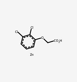 O=C(O)COc1cccc(Cl)c1Cl.[Zn]